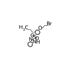 CCCCc1cc(OCCCBr)ccc1S(=O)(=O)c1nc2ccccc2[nH]1